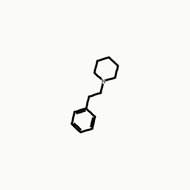 [CH](Cc1ccccc1)N1CCCCC1